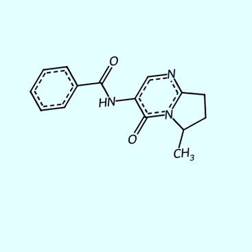 CC1CCc2ncc(NC(=O)c3ccccc3)c(=O)n21